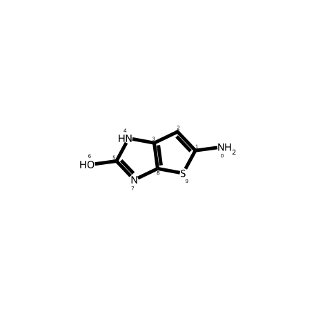 Nc1cc2[nH]c(O)nc2s1